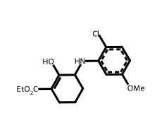 CCOC(=O)C1=C(O)C(Nc2cc(OC)ccc2Cl)CCC1